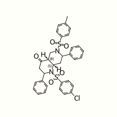 Cc1ccc(S(=O)(=O)N2C[C@H]3C(=O)CC(c4ccccc4)N(S(=O)(=O)c4ccc(Cl)cc4)[C@H]3CC2c2ccccc2)cc1